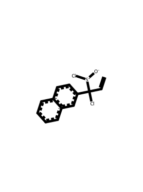 C=CC(Cl)(c1ccc2ccccc2c1)[S+]([O-])Cl